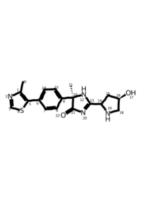 Cc1ncsc1-c1ccc([C@@]2(C)NC(C3C[C@@H](O)CN3)=NC2=O)cc1